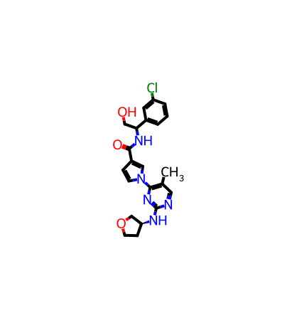 Cc1cnc(N[C@H]2CCOC2)nc1-n1ccc(C(=O)NC(CO)c2cccc(Cl)c2)c1